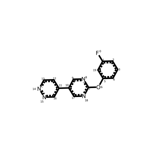 Fc1cccc(Oc2ncc(-c3ccnnc3)cn2)c1